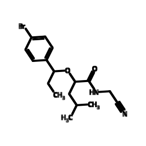 CCC(OC(CC(C)C)C(=O)NCC#N)c1ccc(Br)cc1